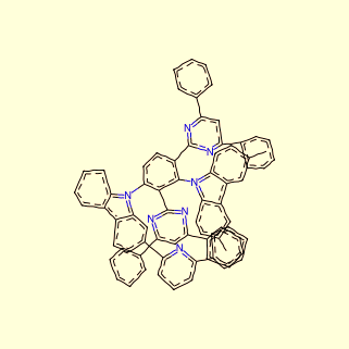 Cc1ccc2c(c1)c1cc(C)ccc1n2-c1c(-c2nc(-c3ccccc3)cc(-c3ccccc3)n2)ccc(-n2c3ccccc3c3ccc(-c4cccc(-c5ccccc5)n4)cc32)c1-c1nc(-c2ccccc2)cc(-c2ccccc2)n1